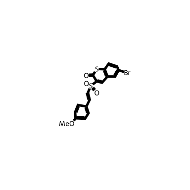 COc1ccc(C=CS(=O)(=O)c2cc3cc(Br)ccc3sc2=O)cc1